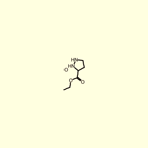 CCOC(=O)C1CCNN1.[O]